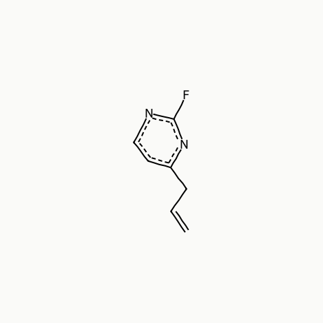 C=CCc1ccnc(F)n1